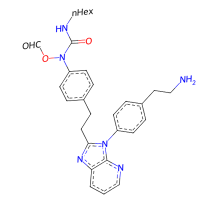 CCCCCCNC(=O)N(OC=O)c1ccc(CCc2nc3cccnc3n2-c2ccc(CCN)cc2)cc1